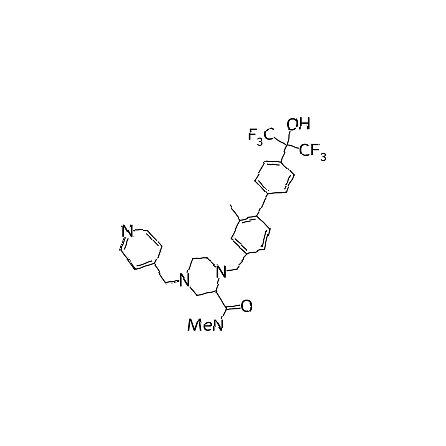 CNC(=O)C1CN(Cc2ccncc2)CCN1Cc1ccc(-c2ccc(C(O)(C(F)(F)F)C(F)(F)F)cc2)c(C)c1